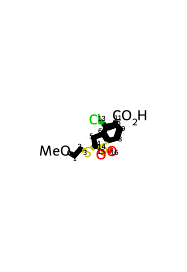 COCCSC1Cc2c(ccc(C(=O)O)c2Cl)S1(=O)=O